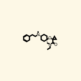 CCN1C[C@]2(CC[C@@H](N(C)CCC3C=CC=CC3)CC2)OC2(CC2)C1=O